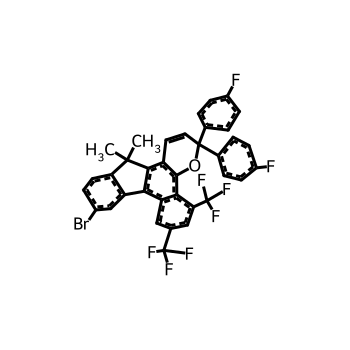 CC1(C)c2ccc(Br)cc2-c2c1c1c(c3c(C(F)(F)F)cc(C(F)(F)F)cc23)OC(c2ccc(F)cc2)(c2ccc(F)cc2)C=C1